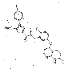 CSc1cc(C(=O)NCc2cc(Oc3ccnc4c3CCC(=O)N4)ccc2F)nn1-c1ccc(F)cc1